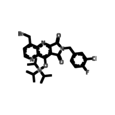 CC(C)[Si](Oc1c2c(nc3c(CBr)ccnc13)C(=O)N(Cc1ccc(F)c(Cl)c1)C2=O)(C(C)C)C(C)C